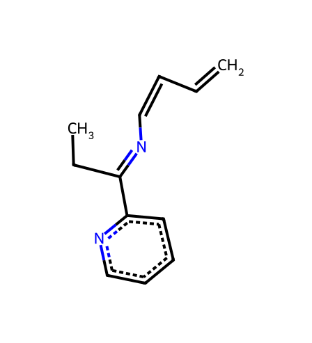 C=C/C=C\N=C(/CC)c1ccccn1